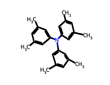 Cc1cc(C)cc(N(c2cc(C)cc(C)c2)c2cc(C)cc(C)c2)c1